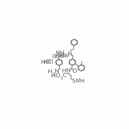 CCCCN(CCc1ccccc1)Cc1ccc(C(=O)NC(CCSC)C(=O)O)c(-c2ccccc2C)c1.Cl.Cl.NCc1ccc(S(N)(=O)=O)cc1